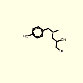 CN(Cc1ccc(O)cc1)CC(O)CO